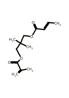 C=C(C)C(=O)OCC(C)(C)COC(=O)C=CC